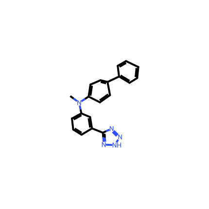 CN(c1ccc(-c2ccccc2)cc1)c1cccc(-c2nn[nH]n2)c1